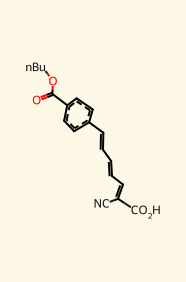 CCCCOC(=O)c1ccc(/C=C/C=C/C=C(\C#N)C(=O)O)cc1